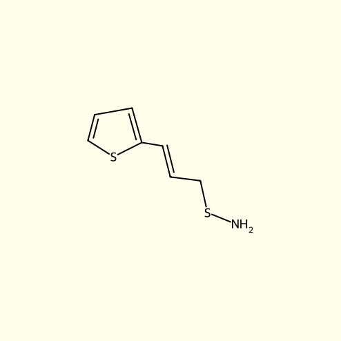 NSCC=Cc1cccs1